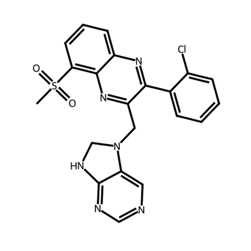 CS(=O)(=O)c1cccc2nc(-c3ccccc3Cl)c(CN3CNc4ncncc43)nc12